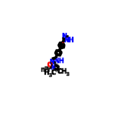 CCCC(=O)N1C(C)[C@H](C)C[C@H]1c1ncc(-c2ccc(C34CCC(c5cnc[nH]5)(CC3)CC4)cc2)[nH]1